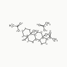 CC(=O)O[C@@H]1CC[C@]2(C)C3C[C@H](OC(C)=O)[C@]4(C)C(C(C)=O)CCC4C3CC[C@@H]2C1